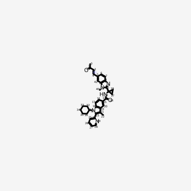 CC(=O)/C=C/c1ccc2nc(C3(NC(=O)c4ccc5c(c4)c(C)c(-c4ccccn4)n5C4CCCCC4)CC3)n(C)c2c1